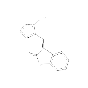 COc1cc[nH]c1/C=C1\C(=O)Nc2ccccc21